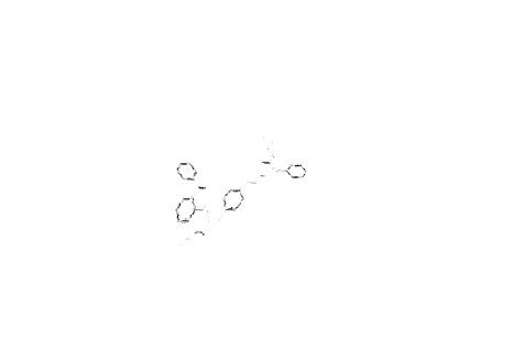 CCCCC(=O)N(CCCOc1ccc(C[C@H](Nc2ccccc2C(=O)c2ccccc2)C(=O)OC)cc1)c1cccc(F)c1